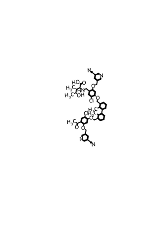 CC(=O)c1cc(Cl)c(OCc2cccc(-c3cccc(COc4cc(OCc5cncc(C#N)c5)c(CN[C@H](C(=O)O)[C@@H](C)[C@H](C)O)cc4Cl)c3C)c2C)cc1OCc1cncc(C#N)c1